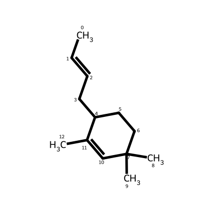 CC=CCC1CCC(C)(C)C=C1C